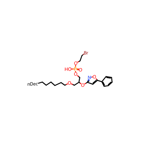 CCCCCCCCCCCCCCCCOCC(COP(=O)(O)OCCBr)Oc1cc(-c2ccccc2)on1